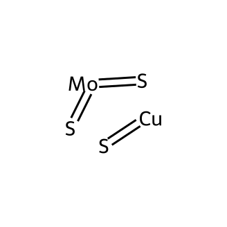 [S]=[Cu].[S]=[Mo]=[S]